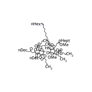 C=CCCC(=O)O[C@H]1[C@H](OCCCCCCCCCC)[C@@H](NC(=O)CC(=O)CCCCCCCCCCC)[C@@H](OP(=O)(OCC=C)OCC=C)O[C@@H]1CO[C@@H]1O[C@H](COC)[C@@H](OP(=O)(OCC=C)OCC=C)[C@H](OCC[C@@H](CCCCCCC)OC)[C@H]1NC(=O)CCCCCCCCC/C=C\CCCCCC